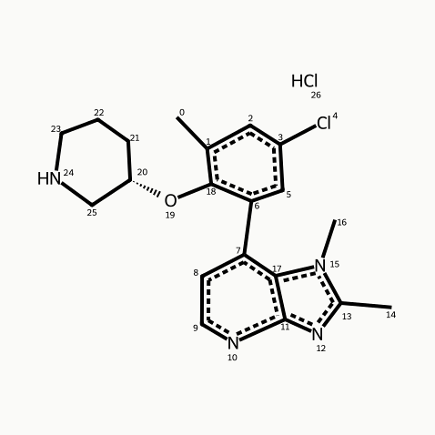 Cc1cc(Cl)cc(-c2ccnc3nc(C)n(C)c23)c1O[C@H]1CCCNC1.Cl